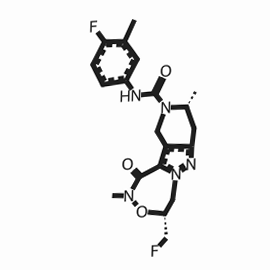 Cc1cc(NC(=O)N2Cc3c(nn4c3C(=O)N(C)O[C@@H](CF)C4)C[C@H]2C)ccc1F